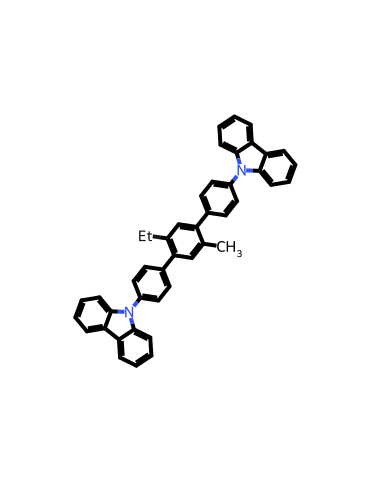 CCc1cc(-c2ccc(-n3c4ccccc4c4ccccc43)cc2)c(C)cc1-c1ccc(-n2c3ccccc3c3ccccc32)cc1